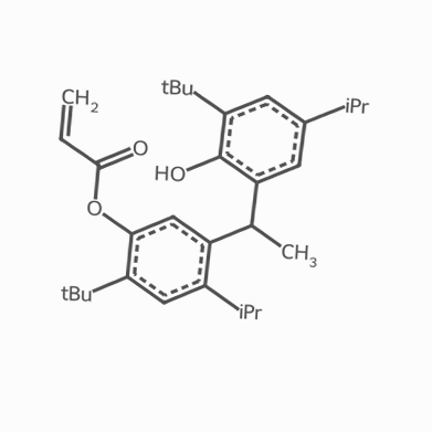 C=CC(=O)Oc1cc(C(C)c2cc(C(C)C)cc(C(C)(C)C)c2O)c(C(C)C)cc1C(C)(C)C